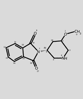 COC1CNC[C@H](N2C(=O)c3ccccc3C2=O)C1